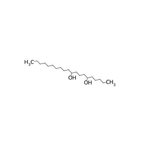 CCCCCCCCCCC(O)CCCC(O)CCCCC